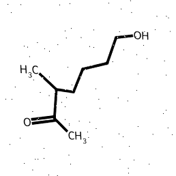 CC(=O)C(C)CCCCO